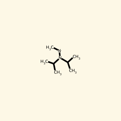 C[N]N(C(C)C)C(C)C